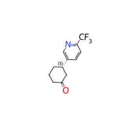 O=C1CCC[C@H](c2ccc(C(F)(F)F)nc2)C1